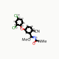 CNC(=O)N=C(OC)c1cc(Oc2ccc(Cl)cc2Cl)ccc1C#N